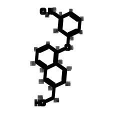 O=[N+]([O-])c1cccc(Oc2cccc3cc(CO)ccc23)c1